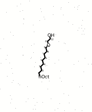 CCCCCCCCCCCCCCCCCOCCO